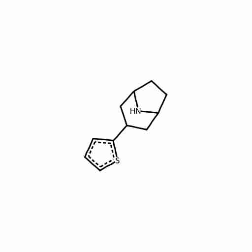 c1csc(C2CC3CCC(C2)N3)c1